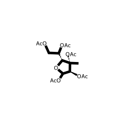 CC(=O)OCC(OC(C)=O)[C@H]1OC(OC(C)=O)[C@H](OC(C)=O)[C@@]1(C)OC(C)=O